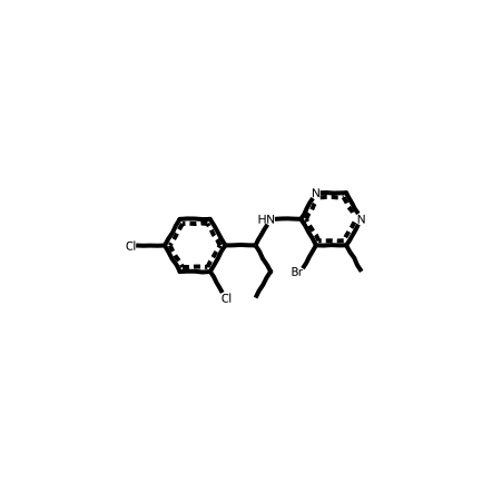 CCC(Nc1ncnc(C)c1Br)c1ccc(Cl)cc1Cl